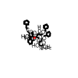 CC(=O)NC1C(O)[C@H](O[C@@H]2OC(COCc3ccccc3)[C@H](O)C(O[C@H]3OC(COCc4ccccc4)[C@H](O)C(O)C3OCc3ccccc3)C2O)C(COCc2ccccc2)O[C@H]1O